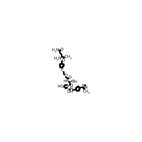 Cc1ncsc1-c1ccc(CNC(=O)[C@@H]2C[C@@H](O)CN2C(=O)[C@@H](NC(=O)COCCCc2ccc(CO[C@H](C)[C@@H](N)CCC(N)=O)cc2)C(C)(C)C)cc1